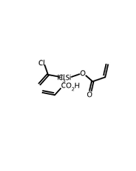 C=C(Cl)Cl.C=CC(=O)O.C=CC(=O)O[SiH3]